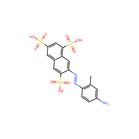 Cc1cc(N)ccc1N=Nc1cc2c(S(=O)(=O)O)cc(S(=O)(=O)O)cc2cc1S(=O)(=O)O